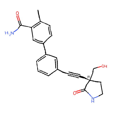 Cc1ccc(-c2cccc(C#C[C@@]3(CO)CCNC3=O)c2)cc1C(N)=O